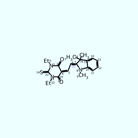 CCN1C(=O)C(=C/C=C2\N(C)c3ccccc3C2(C)C)C(=O)N(CC)C1=S